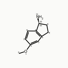 COc1ccc2c(c1)CC[C@@H]2N